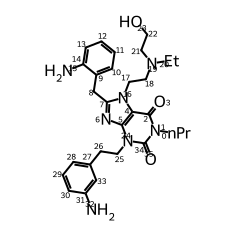 CCCn1c(=O)c2c(nc(Cc3ccccc3N)n2CCN(CC)CCO)n(CCc2cccc(N)c2)c1=O